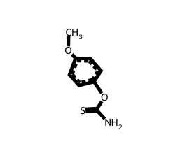 COc1ccc(OC(N)=S)cc1